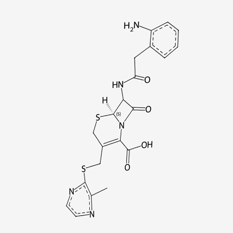 Cc1nccnc1SCC1=C(C(=O)O)N2C(=O)C(NC(=O)Cc3ccccc3N)[C@@H]2SC1